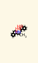 CC(CC1OCCc2ccccc21)NCC(O)c1ccccc1O